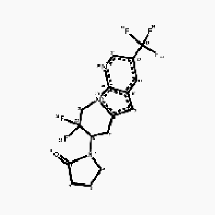 O=C1CCCN1C1Cc2cc3cc(C(F)(F)F)cnc3n2CC1(F)F